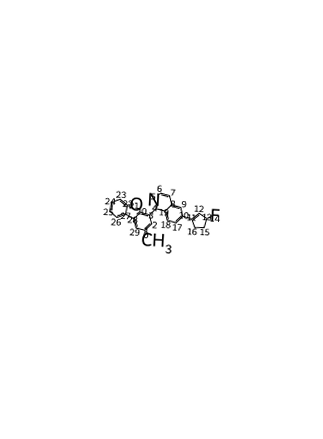 Cc1cc(-c2nccc3cc(C4=CC(F)CC4)ccc23)c2oc3ccccc3c2c1